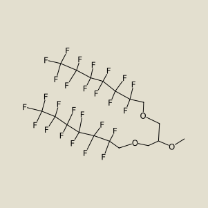 COC(COCC(F)(F)C(F)(F)C(F)(F)C(F)(F)C(F)(F)C(F)(F)F)COCC(F)(F)C(F)(F)C(F)(F)C(F)(F)C(F)(F)C(F)(F)F